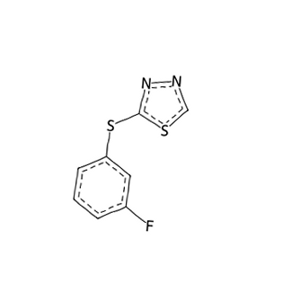 Fc1cccc(Sc2nncs2)c1